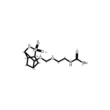 CC(C)(C)C(=O)NCCOCOC1C2CC3C1OS(=O)(=O)C3C2